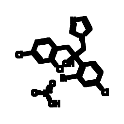 O=[N+]([O-])O.OC(Cc1ccc(Cl)cc1Cl)(Cn1ccnc1)c1ccc(Cl)cc1Br